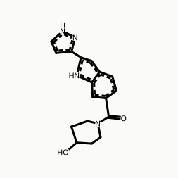 O=C(c1ccc2cc(-c3cc[nH]n3)[nH]c2c1)N1CCC(O)CC1